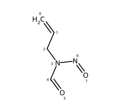 C=CCN([C]=O)N=O